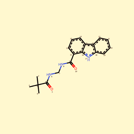 CC(C)(C)C(=O)NCNC(=O)c1cccc2c1[nH]c1ccccc12